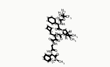 CN(C)C(=O)[C@@H](NC(=O)CNC(=O)C(=O)C(CC1CCC1)NC(=O)[C@@H]1[C@@H]2[C@H](CN1C(=O)[C@@H](NC(=O)OC(C)(C)C(F)(F)F)C1CCCCC1)C2(C)C)c1ccccc1